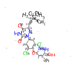 CC(C)C1=CC(Oc2c(Cl)cc(-n3nc(C#C[Si](C)(C)C)c(=O)[nH]c3=O)cc2Cl)=NNC1O